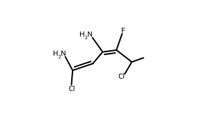 CC(Cl)/C(F)=C(N)\C=C(/N)Cl